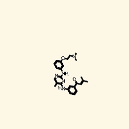 CC(C)=CC(=O)c1cccc(Nc2nc(Nc3cccc(OCCN(C)C)c3)ncc2C)c1